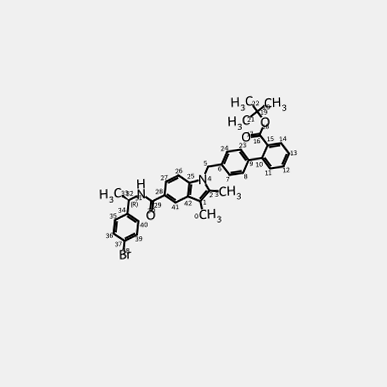 Cc1c(C)n(Cc2ccc(-c3ccccc3C(=O)OC(C)(C)C)cc2)c2ccc(C(=O)N[C@H](C)c3ccc(Br)cc3)cc12